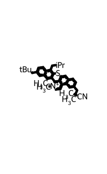 Cc1c2c(c(CC(C)C)c3ccc(CC(C)(C)C)cc13)Sc1cc3ccc(CC(C)(C)C#N)cc3c3cc[n+](C)c-2c13